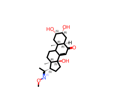 CO/N=C(\C)[C@H]1CC[C@@]2(O)C3=CC(=O)[C@@H]4C[C@@H](O)[C@@H](O)C[C@]4(C)C3CC[C@]12C